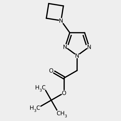 CC(C)(C)OC(=O)Cn1ncc(N2CCC2)n1